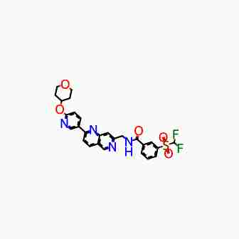 O=C(NCc1cc2nc(-c3ccc(OC4CCOCC4)nc3)ccc2cn1)c1cccc(S(=O)(=O)C(F)F)c1